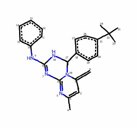 C=C1C=C(C)N=C2N=C(Nc3ccccc3)NC(c3ccc(C(C)(C)C)cc3)N12